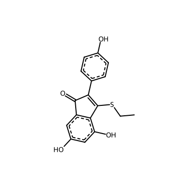 CCSC1=C(c2ccc(O)cc2)C(=O)c2cc(O)cc(O)c21